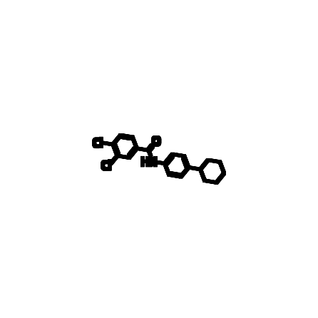 O=C(Nc1ccc(C2CCCCC2)cc1)c1ccc(Cl)c(Cl)c1